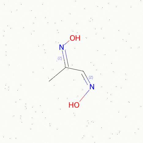 CC(/C=N\O)=N/O